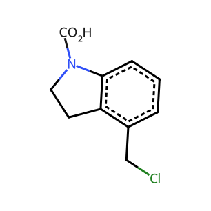 O=C(O)N1CCc2c(CCl)cccc21